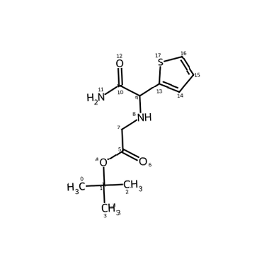 CC(C)(C)OC(=O)CNC(C(N)=O)c1cccs1